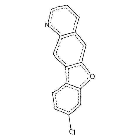 Clc1ccc2c(c1)oc1cc3cccnc3cc12